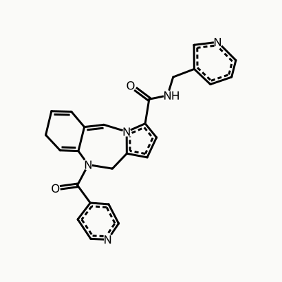 O=C(NCc1cccnc1)c1ccc2n1C=C1C=CCC=C1N(C(=O)c1ccncc1)C2